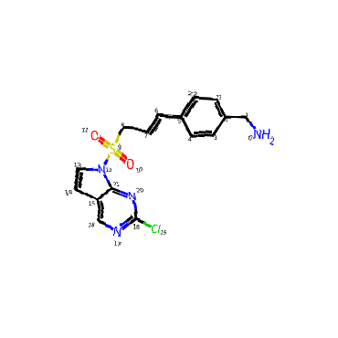 NCc1ccc(C=CCS(=O)(=O)n2ccc3cnc(Cl)nc32)cc1